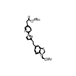 COCN1CSc2cc(CCc3ccn(-c4ccc(CC(=O)OC(C)(C)C)cn4)n3)ccc21